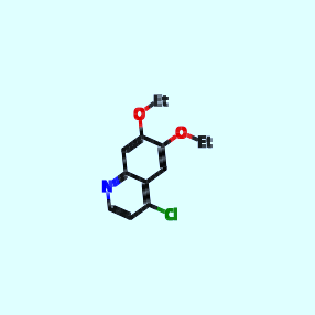 CCOc1cc2nccc(Cl)c2cc1OCC